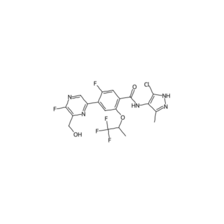 Cc1n[nH]c(Cl)c1NC(=O)c1cc(F)c(-c2cnc(F)c(CO)n2)cc1OC(C)C(F)(F)F